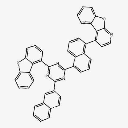 c1ccc2cc(-c3nc(-c4cccc5c(-c6ccnc7oc8ccccc8c67)cccc45)nc(-c4cccc5oc6ccccc6c45)n3)ccc2c1